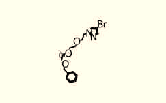 C[C@@H](COCc1ccccc1)OCCOCCn1cc(Br)cn1